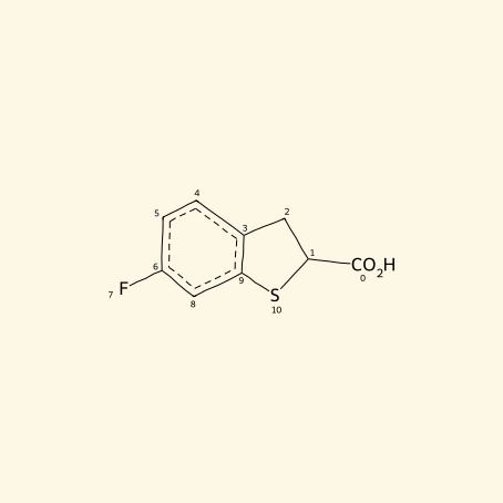 O=C(O)C1Cc2ccc(F)cc2S1